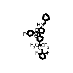 O=S(=O)(c1ccc(F)cc1)C1(c2ccc(C(OCc3c(F)cccc3F)(C(F)(F)F)C(F)(F)F)cc2)CCC(NCc2ccccc2)C1